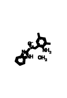 Cc1cc(C)c(N)c(C[S+]([O-])c2nc3ccccc3[nH]2)c1.O